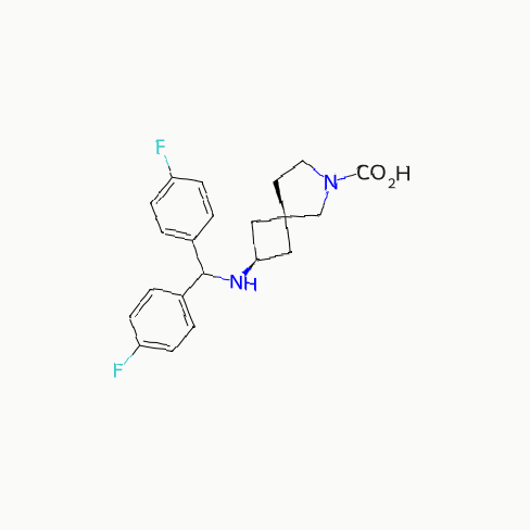 O=C(O)N1CC[C@]2(C1)C[C@H](NC(c1ccc(F)cc1)c1ccc(F)cc1)C2